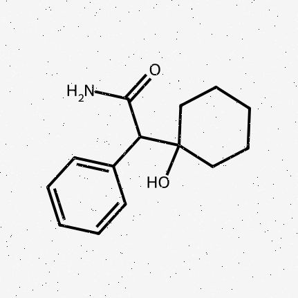 NC(=O)C(c1ccccc1)C1(O)CCCCC1